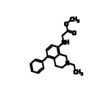 CCN1CCc2c(-c3ccccc3)ccc(NCC(=O)OC)c2C1